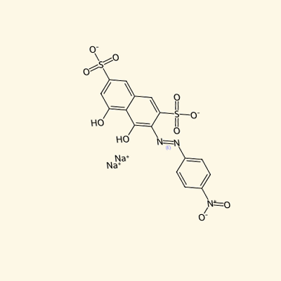 O=[N+]([O-])c1ccc(/N=N/c2c(S(=O)(=O)[O-])cc3cc(S(=O)(=O)[O-])cc(O)c3c2O)cc1.[Na+].[Na+]